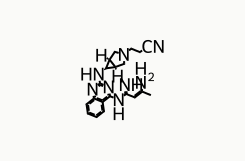 C/C(N)=C/C(=N)Nc1nc(N[C@@H]2[C@@H]3CN(CCC#N)C[C@@H]32)nc2ccccc12